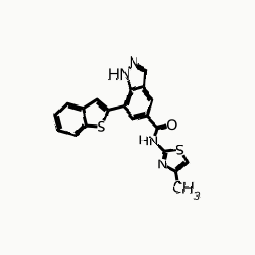 Cc1csc(NC(=O)c2cc(-c3cc4ccccc4s3)c3[nH]ncc3c2)n1